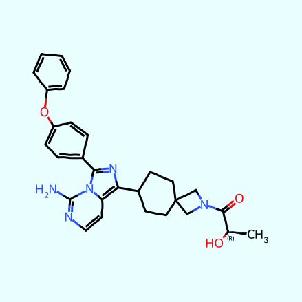 C[C@@H](O)C(=O)N1CC2(CCC(c3nc(-c4ccc(Oc5ccccc5)cc4)n4c(N)nccc34)CC2)C1